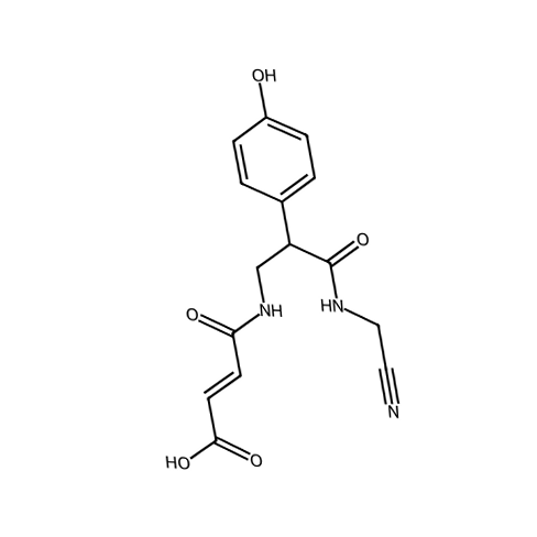 N#CCNC(=O)C(CNC(=O)C=CC(=O)O)c1ccc(O)cc1